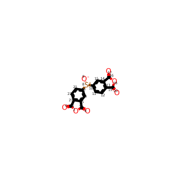 O=C1OC(=O)c2cc([S+]([O-])c3ccc4c(c3)C(=O)OC4=O)ccc21